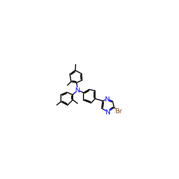 Cc1ccc(N(c2ccc(-c3cnc(Br)cn3)cc2)c2ccc(C)cc2C)c(C)c1